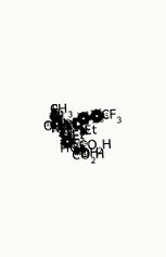 CCN(CC)CCN(Cc1ccc(-c2ccc(C(F)(F)F)cc2)cc1)C(=O)Cn1c(CCc2cccc(F)c2F)nc(=O)c2cn(C)nc21.O=C(O)C(O)C(O)C(=O)O